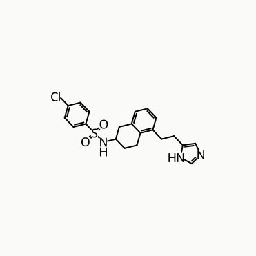 O=S(=O)(NC1CCc2c(CCc3cnc[nH]3)cccc2C1)c1ccc(Cl)cc1